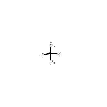 FC(F)(F)C(F)(Br)C(F)(F)F